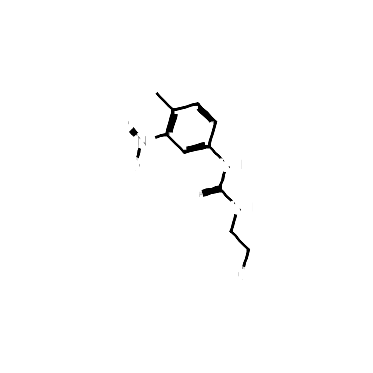 Cc1ccc(NC(=O)NCCCl)cc1[N+](=O)[O-]